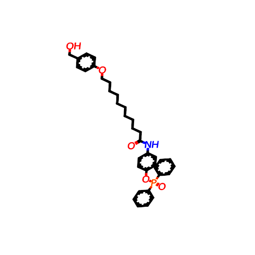 O=C(CCCCCCCCCCOc1ccc(CO)cc1)Nc1ccc(OP(=O)(c2ccccc2)c2ccccc2)cc1